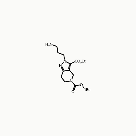 CCOC(=O)c1c2c(nn1CCCN)CCN(C(=O)OC(C)(C)C)C2